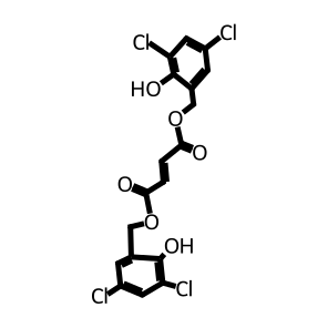 O=C(C=CC(=O)OCc1cc(Cl)cc(Cl)c1O)OCc1cc(Cl)cc(Cl)c1O